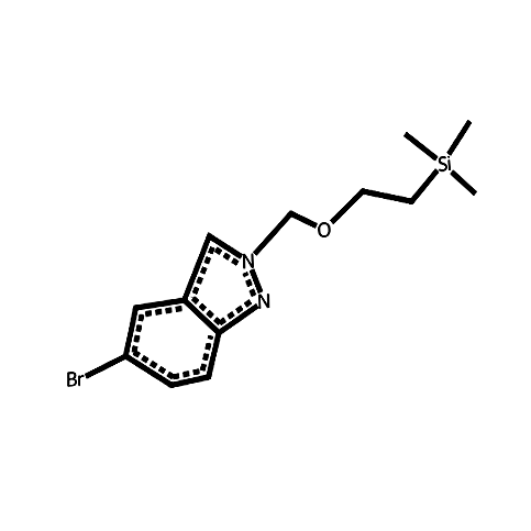 C[Si](C)(C)CCOCn1cc2cc(Br)ccc2n1